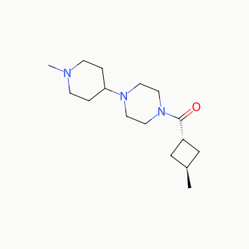 CN1CCC(N2CCN(C(=O)[C@H]3C[C@H](C)C3)CC2)CC1